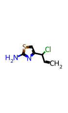 C=CC(Cl)c1csc(N)n1